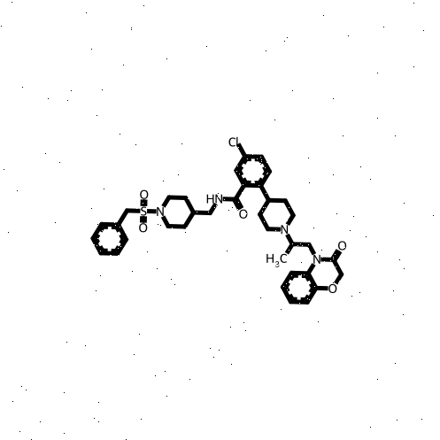 CC(CN1C(=O)COc2ccccc21)N1CCC(c2ccc(Cl)cc2C(=O)NCC2CCN(S(=O)(=O)Cc3ccccc3)CC2)CC1